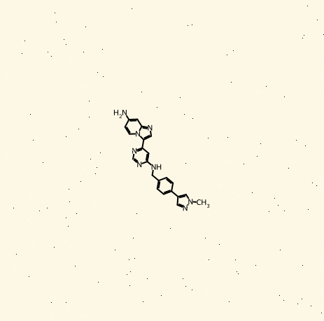 Cn1cc(-c2ccc(CNc3cc(-c4cnc5cc(N)ccn45)ncn3)cc2)cn1